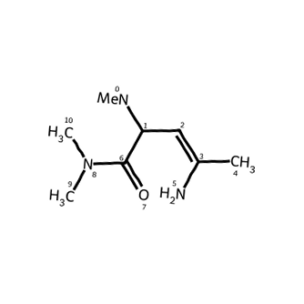 CNC(/C=C(/C)N)C(=O)N(C)C